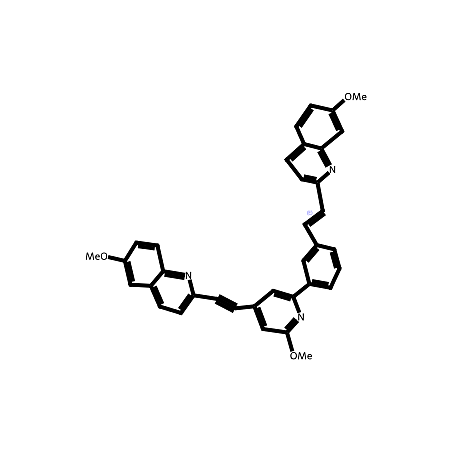 COc1ccc2nc(C#Cc3cc(OC)nc(-c4cccc(/C=C/c5ccc6ccc(OC)cc6n5)c4)c3)ccc2c1